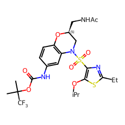 CCc1nc(S(=O)(=O)N2C[C@H](CNC(C)=O)Oc3ccc(NC(=O)OC(C)(C)C(F)(F)F)cc32)c(OC(C)C)s1